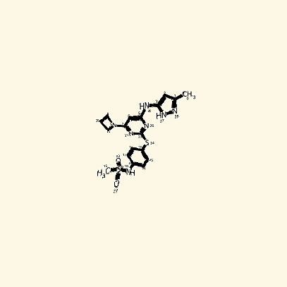 Cc1cc(Nc2cc(N3CCC3)nc(Sc3ccc(NS(C)(=O)=O)cc3)n2)[nH]n1